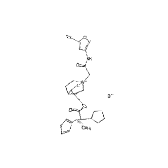 CCc1cc(NC(=O)C[N+]23CCC(CC2)C(OC(=O)[C@](O)(c2ccsc2)C2CCCC2)C3)no1.[Br-]